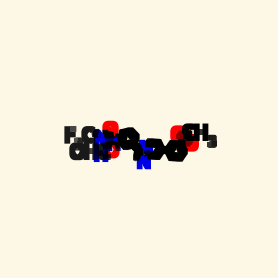 CS(=O)(=O)c1cccc(-c2ccn3c(-c4cccc(N(OC=O)C(=O)NCC(F)(F)F)c4)cnc3c2)c1